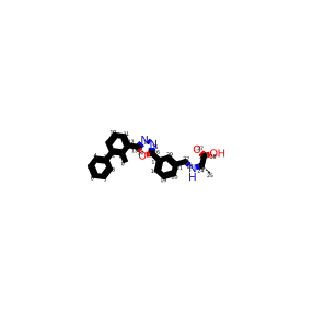 Cc1c(-c2ccccc2)cccc1-c1nnc(-c2cccc(CN[C@@H](C)C(=O)O)c2)o1